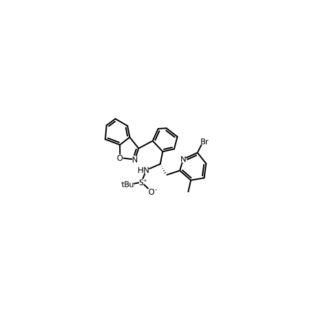 Cc1ccc(Br)nc1C[C@H](N[S+]([O-])C(C)(C)C)c1ccccc1-c1noc2ccccc12